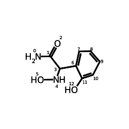 NC(=O)C(NO)c1ccccc1O